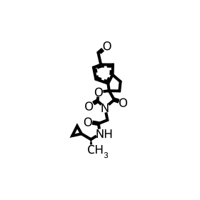 C[C@H](NC(=O)CN1C(=O)OC2(CCc3cc(C=O)ccc32)C1=O)C1CC1